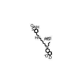 CCCN(CCCCCCNCCc1ccc2[nH]c(=O)sc2c1)[C@H]1CCc2c(ccc(OC)c2OC)C1.Cl.Cl